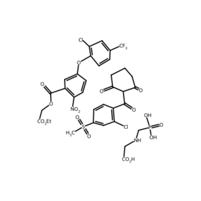 CCOC(=O)COC(=O)c1cc(Oc2ccc(C(F)(F)F)cc2Cl)ccc1[N+](=O)[O-].CS(=O)(=O)c1ccc(C(=O)C2C(=O)CCCC2=O)c(Cl)c1.O=C(O)CNCP(=O)(O)O